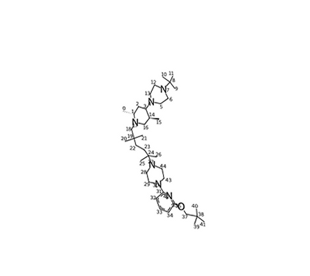 C[C@@H]1CC(N2CCN(C(C)(C)C)CC2)[C@@H](C)CN1CC(C)(C)CCC(C)(C)N1CCN(c2cccc(OCC(C)(C)C)n2)CC1